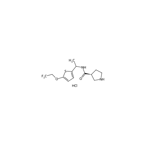 CC(NC(=O)[C@H]1CCNC1)c1ccc(OCC(F)(F)F)s1.Cl